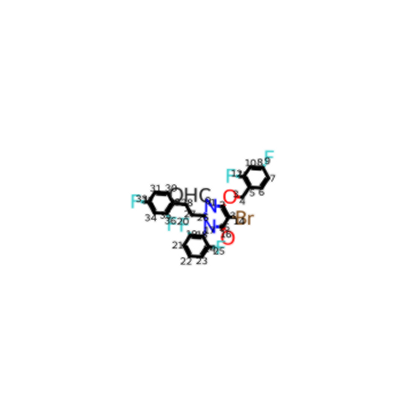 O=CN1C(OCc2ccc(F)cc2F)=C(Br)C(=O)N(c2c(F)cccc2F)C1CCc1ccc(F)cc1F